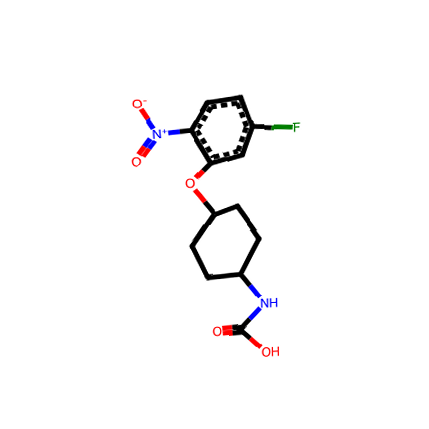 O=C(O)NC1CCC(Oc2cc(F)ccc2[N+](=O)[O-])CC1